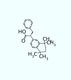 CC1(C)CCC(C)(C)c2cc([C@H](Cc3ccccc3)C(=O)O)ccc21